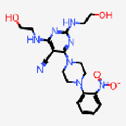 N#Cc1c(NCCO)nc(NCCO)nc1N1CCN(c2ccccc2[N+](=O)[O-])CC1